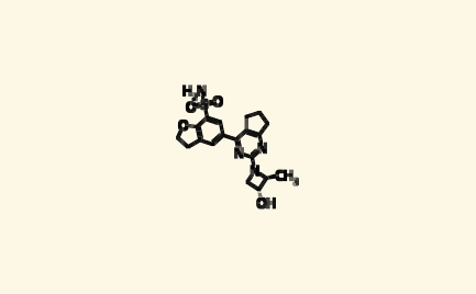 C[C@H]1[C@H](O)CN1c1nc2c(c(-c3cc4c(c(S(N)(=O)=O)c3)OCC4)n1)CCC2